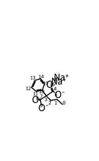 CCCC(C(=O)[O-])(C(=O)[O-])c1ccccc1.[Na+].[Na+]